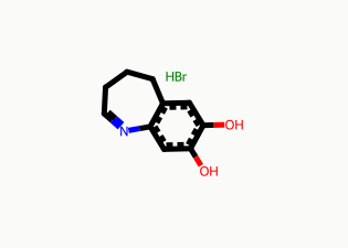 Br.Oc1cc2c(cc1O)N=CCCC2